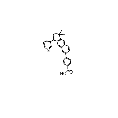 CC1(C)CC=C(c2cccnc2)c2cc3cc(-c4ccc(C(=O)O)cc4)ccc3cc21